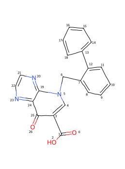 O=C(O)c1cn(Cc2ccccc2-c2ccccc2)c2nccnc2c1=O